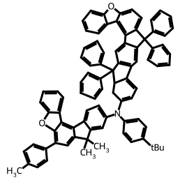 Cc1ccc(-c2cc3c(c4c2oc2ccccc24)-c2ccc(N(C4=CC=C5c6cc7c(cc6C(c6ccccc6)(c6ccccc6)C5C4)-c4c(ccc5oc6ccccc6c45)C7(c4ccccc4)c4ccccc4)c4ccc(C(C)(C)C)cc4)cc2C3(C)C)cc1